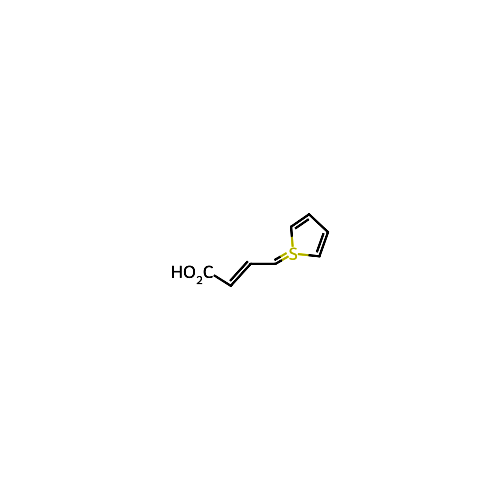 O=C(O)C=CC=S1C=CC=C1